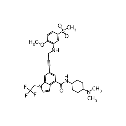 COc1ccc(S(C)(=O)=O)cc1NCC#Cc1cc(C(=O)NC2CCC(N(C)C)CC2)c2ccn(CC(F)(F)F)c2c1